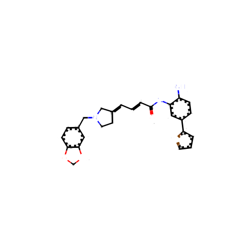 Nc1ccc(-c2cccs2)cc1NC(=O)/C=C/C=C1\CCN(Cc2ccc3c(c2)OCO3)C1